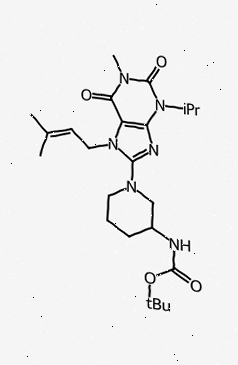 CC(C)=CCn1c(N2CCCC(NC(=O)OC(C)(C)C)C2)nc2c1c(=O)n(C)c(=O)n2C(C)C